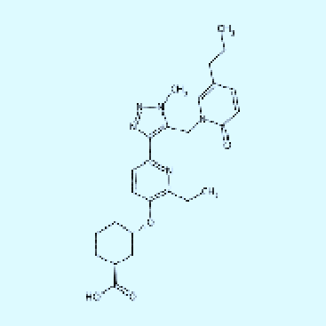 CCCc1ccc(=O)n(Cc2c(-c3ccc(O[C@H]4CCC[C@H](C(=O)O)C4)c(CC)n3)nnn2C)c1